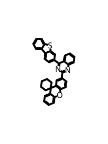 c1ccc2c(c1)Oc1ccc(-c3nc(-c4ccc5c(c4)sc4ccccc45)c4ccccc4n3)cc1C21CCCCC1